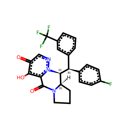 O=C1c2c(O)c(=O)cnn2[C@@H]([C@H](c2ccc(F)cc2)c2cccc(C(F)(F)F)c2)[C@H]2CCCN12